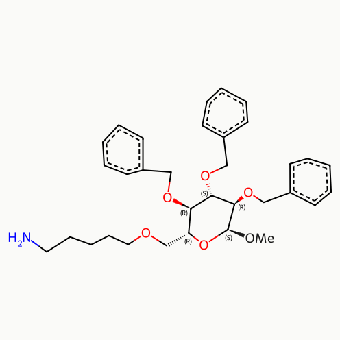 CO[C@H]1O[C@H](COCCCCCN)[C@@H](OCc2ccccc2)[C@H](OCc2ccccc2)[C@H]1OCc1ccccc1